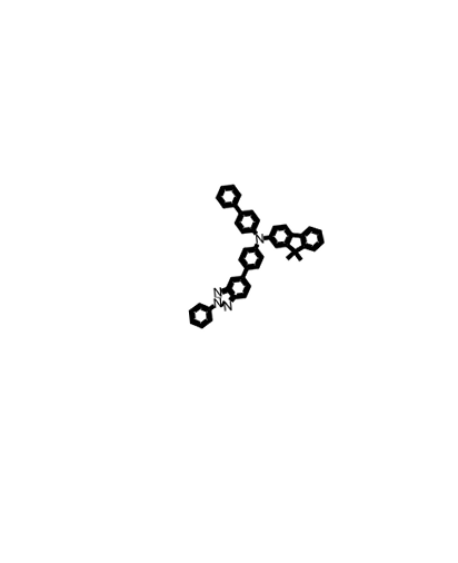 CC1(C)c2ccccc2-c2ccc(N(c3ccc(-c4ccccc4)cc3)c3ccc(-c4ccc5nn(-c6ccccc6)nc5c4)cc3)cc21